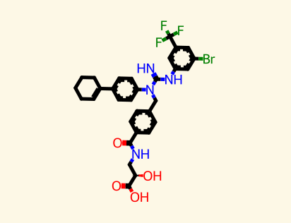 N=C(Nc1cc(Br)cc(C(F)(F)F)c1)N(Cc1ccc(C(=O)NC[C@@H](O)C(=O)O)cc1)c1ccc(C2=CCCCC2)cc1